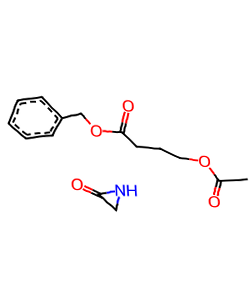 CC(=O)OCCCC(=O)OCc1ccccc1.O=C1CN1